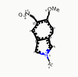 COc1cc2cn(C(C)=O)cc2cc1[N+](=O)[O-]